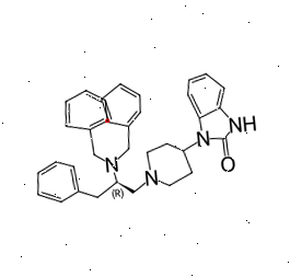 O=c1[nH]c2ccccc2n1C1CCN(C[C@@H](Cc2ccccc2)N(Cc2ccccc2)Cc2ccccc2)CC1